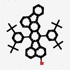 CC(C)(C)c1cc(-c2c3cc4c5ccccc5c5cccc(c3c(-c3cc(C(C)(C)C)cc(C(C)(C)C)c3)c3c6cccc7c(Br)ccc(c23)c76)c54)cc(C(C)(C)C)c1